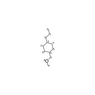 CCCC1CCC(COC)CC1